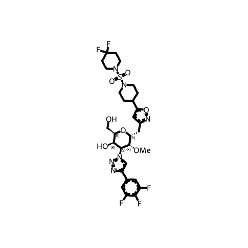 CO[C@@H]1[C@@H](n2cc(-c3cc(F)c(F)c(F)c3)nn2)[C@@H](O)[C@@H](CO)O[C@@H]1Cc1cc(C2CCN(S(=O)(=O)N3CCC(F)(F)CC3)CC2)on1